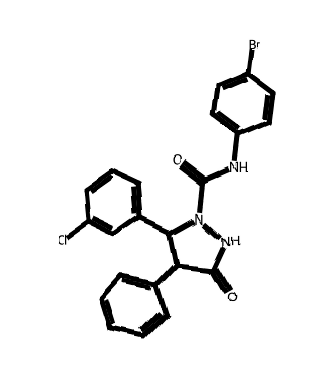 O=C1NN(C(=O)Nc2ccc(Br)cc2)C(c2cccc(Cl)c2)C1c1ccccc1